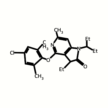 CCC1C(=O)N(C(CC)CC)c2cc(C)nc(Oc3c(C)cc(Cl)cc3C)c21